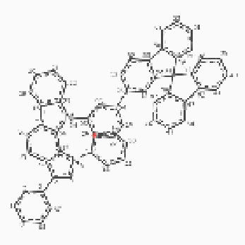 c1ccc(-c2cn(-c3ccccc3)c3c2ccc2c4ccccc4n(-c4cccc(-c5ccc6c(c5)C5(c7ccccc7-c7ccccc75)c5ccccc5-6)c4)c23)cc1